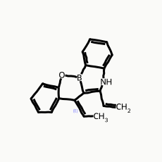 C=CC1=C2B(Oc3ccccc3/C2=C/C)c2ccccc2N1